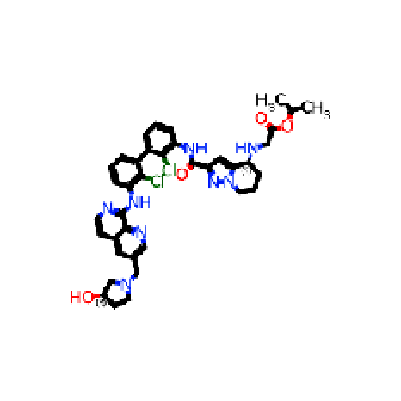 CC(C)OC(=O)CN[C@H]1CCCn2nc(C(=O)Nc3cccc(-c4cccc(Nc5nccc6cc(CN7CC[C@@H](O)C7)cnc56)c4Cl)c3Cl)cc21